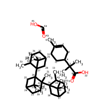 CC1=CCC(C(C)(C)C(=O)O)CC1.CC1CCC2CC1(C1(C)CCC3CC1(C14CC(CCC1C)C4(C)C)C3(C)C)C2(C)C.O=CO